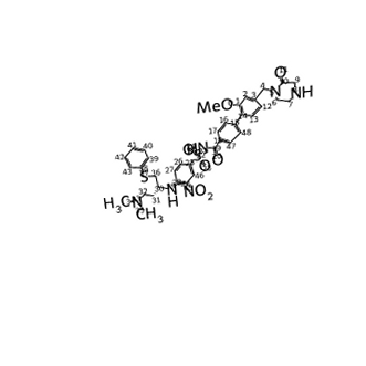 COc1cc(CN2CCNCC2=O)ccc1-c1ccc(C(=O)NS(=O)(=O)c2ccc(N[C@H](CCN(C)C)CSc3ccccc3)c([N+](=O)[O-])c2)cc1